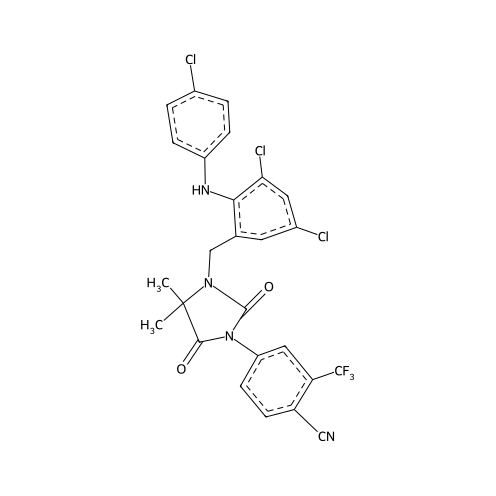 CC1(C)C(=O)N(c2ccc(C#N)c(C(F)(F)F)c2)C(=O)N1Cc1cc(Cl)cc(Cl)c1Nc1ccc(Cl)cc1